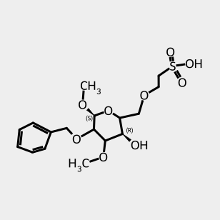 COC1C(OCc2ccccc2)[C@@H](OC)OC(COCCS(=O)(=O)O)[C@H]1O